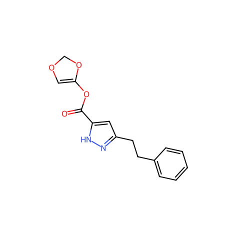 O=C(OC1=COCO1)c1cc(CCc2ccccc2)n[nH]1